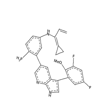 C=CC(Nc1ccc(P)c(-c2cnc3[nH]cc(-c4cc(F)cc(F)c4OC)c3c2)c1)=C1CC1